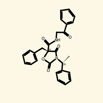 C[C@H](c1ccccc1)N1C(=O)O[C@](Cc2ccccc2)(C(=O)NCC(=O)c2ccccc2)C1=O